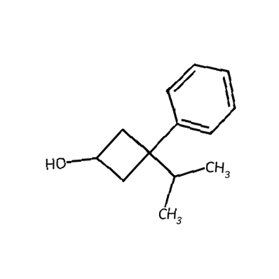 CC(C)C1(c2ccccc2)CC(O)C1